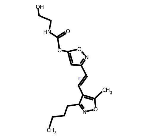 CCCCc1noc(C)c1/C=C/c1cc(OC(=O)NCCO)on1